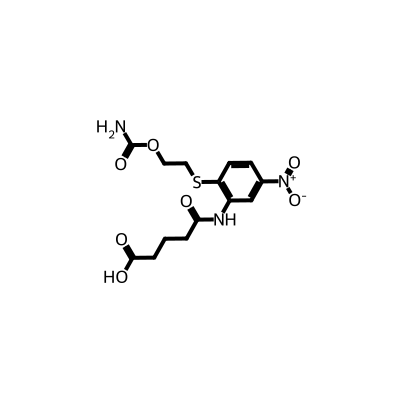 NC(=O)OCCSc1ccc([N+](=O)[O-])cc1NC(=O)CCCC(=O)O